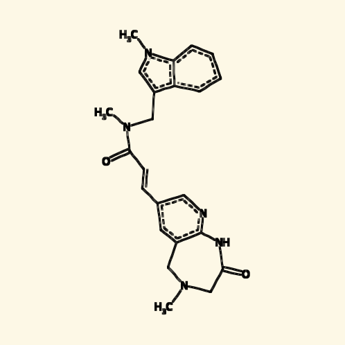 CN1CC(=O)Nc2ncc(/C=C/C(=O)N(C)Cc3cn(C)c4ccccc34)cc2C1